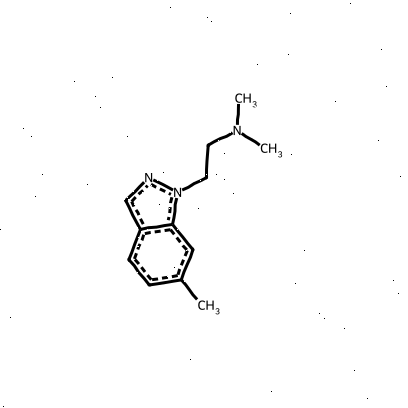 Cc1ccc2cnn(CCN(C)C)c2c1